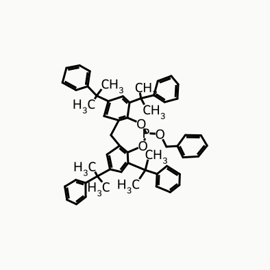 CC(C)(c1ccccc1)c1cc2c(c(C(C)(C)c3ccccc3)c1)OP(OCc1ccccc1)Oc1c(cc(C(C)(C)c3ccccc3)cc1C(C)(C)c1ccccc1)C2